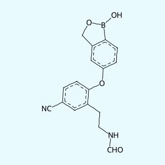 N#Cc1ccc(Oc2ccc3c(c2)COB3O)c(CCNC=O)c1